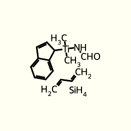 C=CC=C.[CH3][Ti]([CH3])([NH]C=O)[CH]1C=Cc2ccccc21.[SiH4]